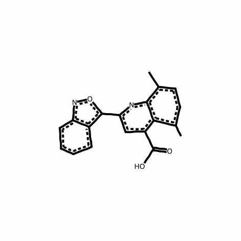 Cc1ccc(C)c2c(C(=O)O)cc(-c3onc4ccccc34)nc12